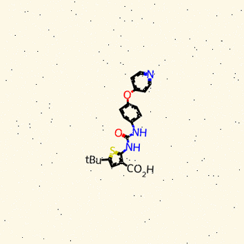 CC(C)(C)c1cc(C(=O)O)c(NC(=O)Nc2ccc(Oc3ccncc3)cc2)s1